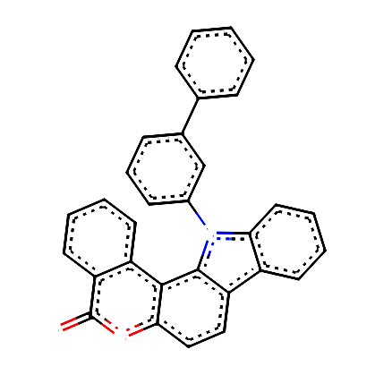 O=c1oc2ccc3c4ccccc4n(-c4cccc(-c5ccccc5)c4)c3c2c2ccccc12